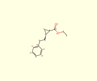 CCOC(=O)C1C[C@@H]1CCc1ccccc1